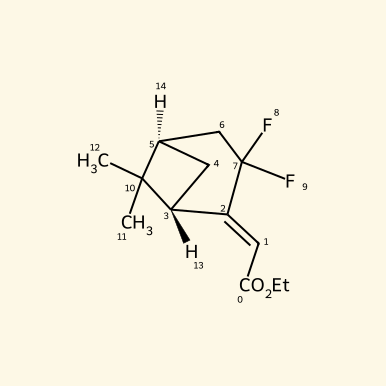 CCOC(=O)C=C1[C@H]2C[C@H](CC1(F)F)C2(C)C